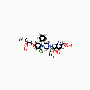 C[C@@H](O)COc1ccc(N2CCN(C[C@@](C)(O)c3ccc(CO)nc3)C[C@H]2c2ccccc2)c(Cl)c1